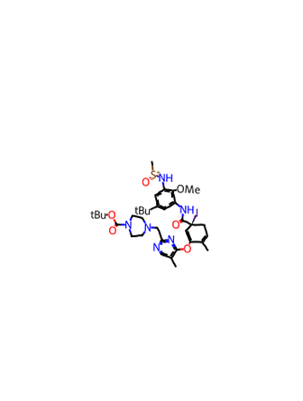 COc1c(NC(=O)[C@@]2(I)C=C(Oc3nc(CN4CCN(C(=O)OC(C)(C)C)CC4)ncc3C)C(C)=CC2)cc(C(C)(C)C)cc1N[S+](C)[O-]